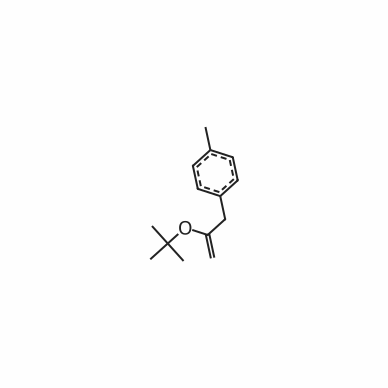 C=C(Cc1ccc(C)cc1)OC(C)(C)C